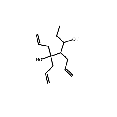 C=CCC(C(O)CC)C(O)(CC=C)CC=C